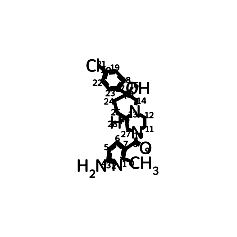 Cc1nc(N)ccc1C(=O)N1CCN2C[C@@](O)(c3ccc(Cl)cc3)CC[C@@H]2C1